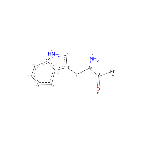 CCC(=O)C(N)Cc1c[nH]c2ccccc12